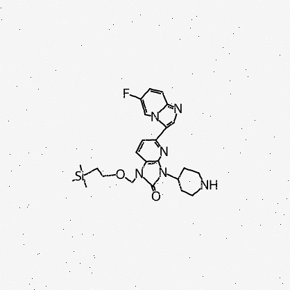 C[Si](C)(C)CCOCn1c(=O)n(C2CCNCC2)c2nc(-c3cnc4ccc(F)cn34)ccc21